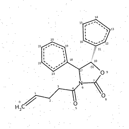 C=CCCC(=O)N1C(=O)O[C@@H](c2ccccc2)C1c1ccccc1